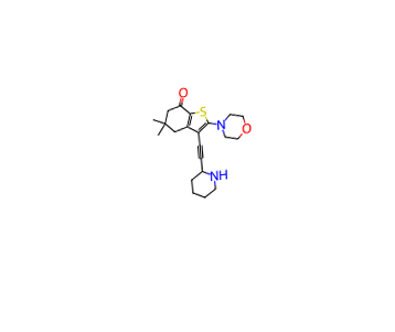 CC1(C)CC(=O)c2sc(N3CCOCC3)c(C#CC3CCCCN3)c2C1